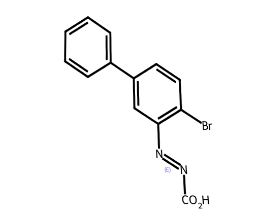 O=C(O)/N=N/c1cc(-c2ccccc2)ccc1Br